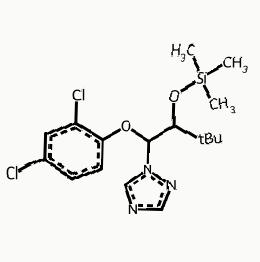 CC(C)(C)C(O[Si](C)(C)C)C(Oc1ccc(Cl)cc1Cl)n1cncn1